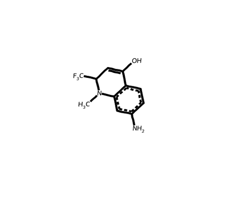 CN1c2cc(N)ccc2C(O)=CC1C(F)(F)F